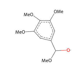 COc1cc(C([O])OC)cc(OC)c1OC